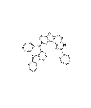 c1ccc(-c2nc3ccc4oc5ccc(N(c6ccccc6)c6cccc7c6oc6ccccc67)cc5c4c3s2)cc1